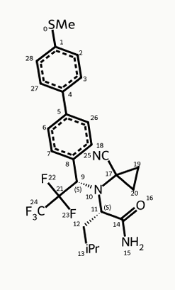 CSc1ccc(-c2ccc([C@H](N([C@@H](CC(C)C)C(N)=O)C3(C#N)CC3)C(F)(F)C(F)(F)F)cc2)cc1